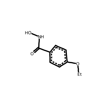 CCOc1ccc(C(=O)NO)cc1